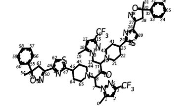 Cc1cc(C(F)(F)F)nn1CC(C(=O)C(Cn1nc(C(F)(F)F)cc1C)N1CCC(c2nc(C3=NOC(C)(c4ccccc4)C3)cs2)CC1)N1CCC(c2nc(C3=NOC(C)(c4ccccc4)C3)cs2)CC1